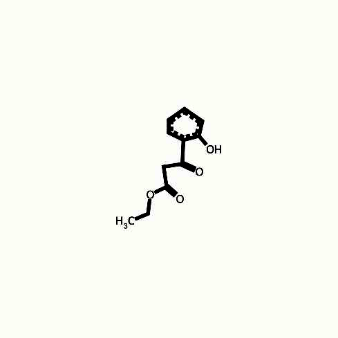 CCOC(=O)CC(=O)c1ccccc1O